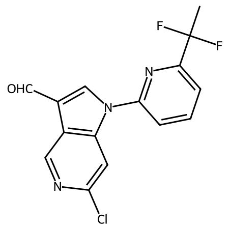 CC(F)(F)c1cccc(-n2cc(C=O)c3cnc(Cl)cc32)n1